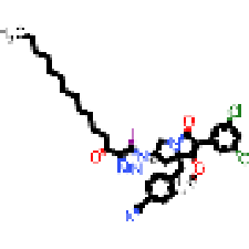 CCCCCCCCCCCCC(=O)c1nnn([C@@H]2CN3C(=O)C(c4cc(Cl)cc(Cl)c4)=C(OC)C3(Cc3ccc(C#N)cc3)C2)c1I